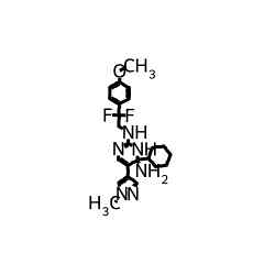 COc1ccc(C(F)(F)CNC2=NC=C(c3cnn(C)c3)C(N)(C3CCCCC3)N2)cc1